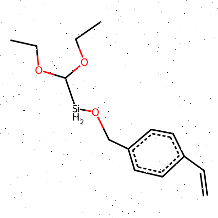 C=Cc1ccc(CO[SiH2]C(OCC)OCC)cc1